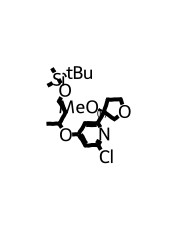 CO[C@@]1(c2cc(OC(C)CCO[Si](C)(C)C(C)(C)C)cc(Cl)n2)CCOC1